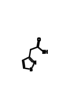 O=C(S)Cc1ccsn1